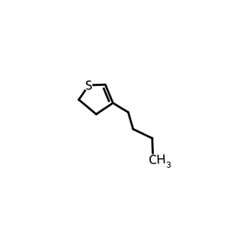 CCCCC1=CSCC1